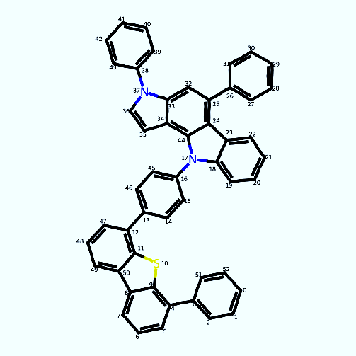 c1ccc(-c2cccc3c2sc2c(-c4ccc(-n5c6ccccc6c6c(-c7ccccc7)cc7c(ccn7-c7ccccc7)c65)cc4)cccc23)cc1